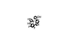 OC1CCCN1c1cn2c(-c3nc(N[C@H]4CNC[C@@H]4F)c(F)cc3F)cnc2cn1